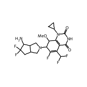 COC1c2c(c(=O)[nH]c(=O)n2C2CC2)C(C(F)F)=C(F)C1N1CC2CC(F)(F)C(N)C2C1